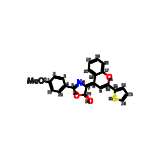 COc1ccc(C2=NC(=C3C=C(c4cccs4)Oc4ccccc43)C(=O)O2)cc1